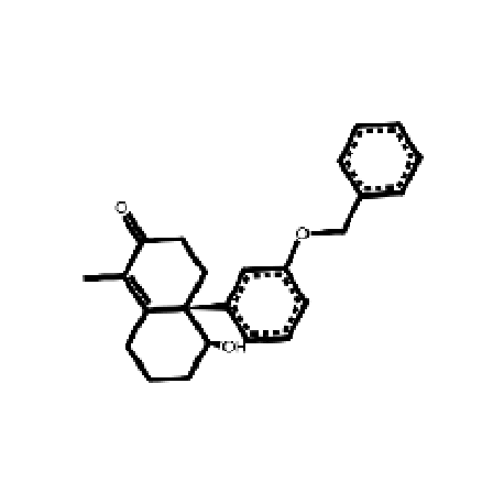 CC1=C2CCC[C@H](O)[C@@]2(c2cccc(OCc3ccccc3)c2)CCC1=O